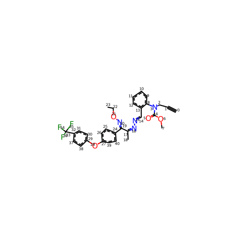 C#CCN(C(=O)OC)c1ccccc1C=NN=C(C)C(=NOCC)c1ccc(Oc2ccc(C(F)(F)F)cc2)cc1